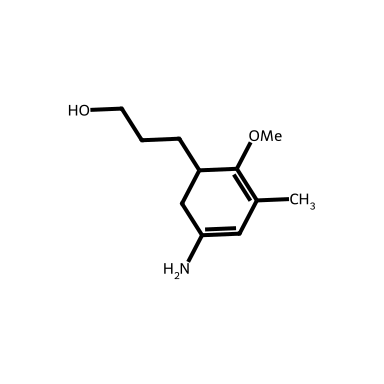 COC1=C(C)C=C(N)CC1CCCO